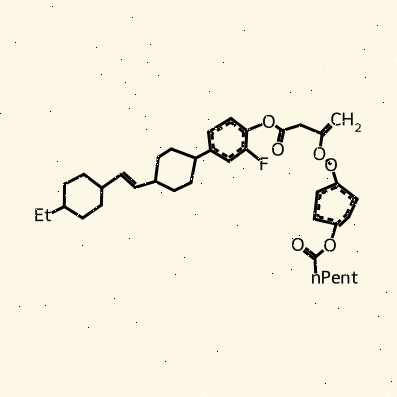 C=C(CC(=O)Oc1ccc(C2CCC(C=CC3CCC(CC)CC3)CC2)cc1F)OOc1ccc(OC(=O)CCCCC)cc1